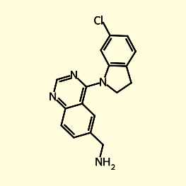 NCc1ccc2ncnc(N3CCc4ccc(Cl)cc43)c2c1